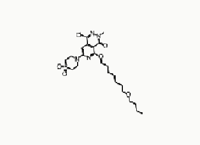 CCCCOCCCCCCCOc1nc(N2CCS(=O)(=O)CC2)cc2c(Cl)nn(C)c(=O)c12